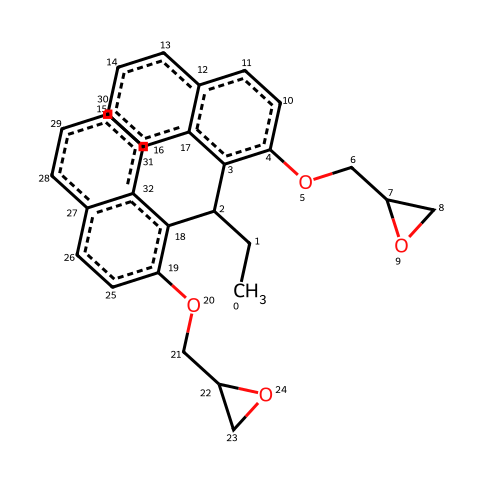 CCC(c1c(OCC2CO2)ccc2ccccc12)c1c(OCC2CO2)ccc2ccccc12